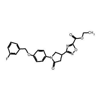 CCOC(=O)c1nc(C2CC(=O)N(c3ccc(OCc4cccc(F)c4)cc3)C2)no1